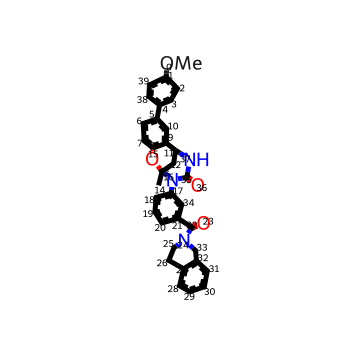 COc1ccc(-c2ccc3c(c2)C2CC(C)(O3)N(c3cccc(C(=O)N4CCc5ccccc5C4)c3)C(=O)N2)cc1